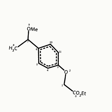 CCOC(=O)COc1ccc(C(C)OC)cc1